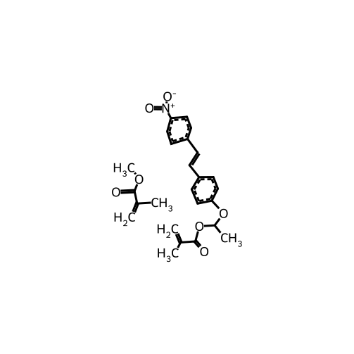 C=C(C)C(=O)OC.C=C(C)C(=O)OC(C)Oc1ccc(C=Cc2ccc([N+](=O)[O-])cc2)cc1